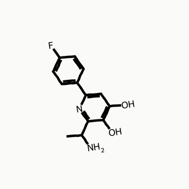 CC(N)c1nc(-c2ccc(F)cc2)cc(O)c1O